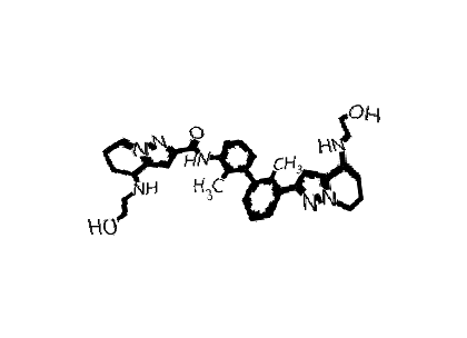 Cc1c(NC(=O)c2cc3n(n2)CCCC3NCCO)cccc1-c1cccc(-c2cc3n(n2)CCCC3NCCO)c1C